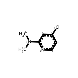 CN(C)c1cc(Cl)ccn1